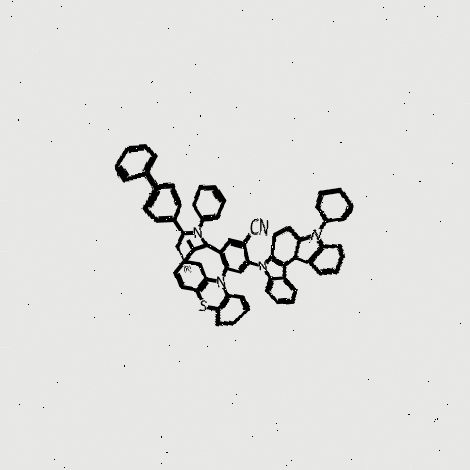 CC1C2c3cc(C#N)c(-n4c5c(c6ccccc64)C4C6=C(CCC=C6)N(C6C=CCCC6)C4CC5)cc3N3C4=C(CCC=C4)SC4=C3C[C@@]1(C=C4)CC(c1ccc(-c3ccccc3)cc1)N2C1=CC=CCC1